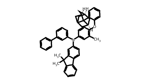 Cc1cc(N(c2cccc(-c3ccccc3)c2)c2ccc3c(c2)C(C)(C)c2ccccc2-3)ccc1Oc1ccccc1C12[C@@H]3C[C@H]4C[C@H]1CC2(C4)C3